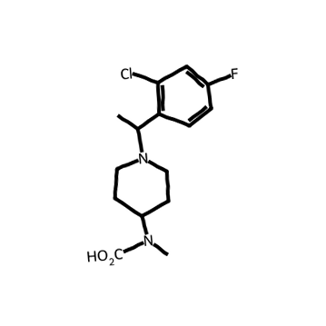 CC(c1ccc(F)cc1Cl)N1CCC(N(C)C(=O)O)CC1